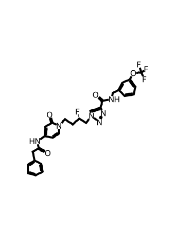 O=C(Cc1ccccc1)Nc1ccn(CC[C@H](F)Cn2cc(C(=O)NCc3cccc(OC(F)(F)F)c3)nn2)c(=O)c1